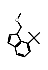 COCC1C=Cc2cccc(C(C)(C)C)c21